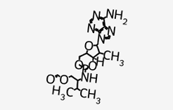 CC(C)C(COC=O)NP1OCC2OC(n3cnc4c(N)ncnc43)C(C)[C@@H]2O1